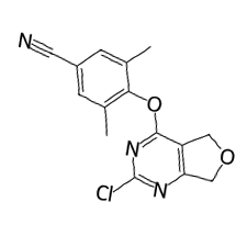 Cc1cc(C#N)cc(C)c1Oc1nc(Cl)nc2c1COC2